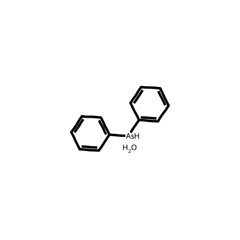 O.c1ccc([AsH]c2ccccc2)cc1